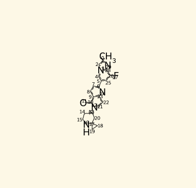 Cc1cn2cc(-c3ccc4c(=O)n([C@H]5CCNC6(CC6)C5)ccc4n3)cc(F)c2n1